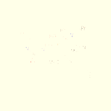 COC(OC)(C(Cn1ccc(=O)[nH]c1=O)P(O)(O)(O)CC(C#N)N(C(C)C)C(C)C)C(c1ccccc1)(c1ccccc1)c1ccccc1